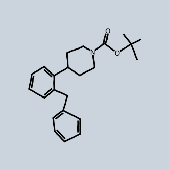 CC(C)(C)OC(=O)N1CCC(c2ccccc2Cc2ccccc2)CC1